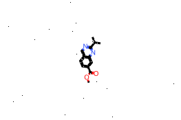 COC(=O)c1ccc2cnc(C(C)C)nc2c1